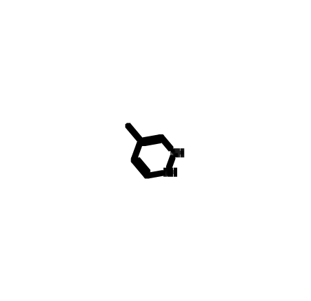 CC1=CNNC=C1